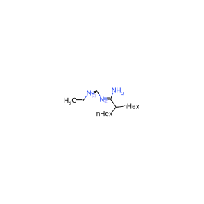 C=C/N=C\N=C(/N)C(CCCCCC)CCCCCC